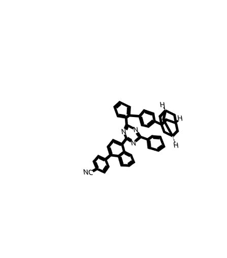 N#Cc1ccc(-c2ccc(-c3nc(-c4ccccc4)nc(-c4ccccc4-c4ccc(C56C[C@H]7C[C@@H](C5)C[C@@H](C6)C7)cc4)n3)c3ccccc23)cc1